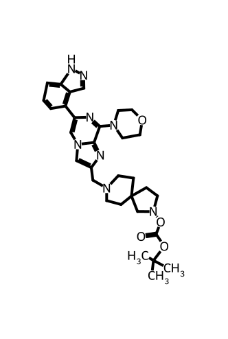 CC(C)(C)OC(=O)ON1CCC2(CCN(Cc3cn4cc(-c5cccc6[nH]ncc56)nc(N5CCOCC5)c4n3)CC2)C1